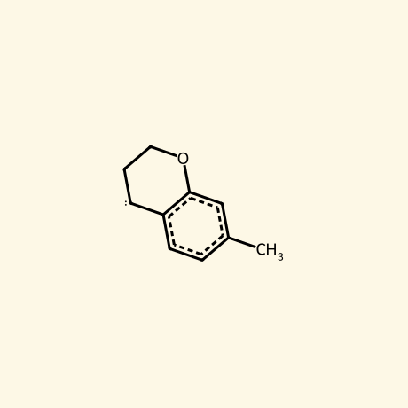 Cc1ccc2c(c1)OCC[C]2